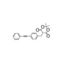 CC1(C)OC(=O)C(Cc2ccc(C#Cc3ccccc3)cc2)C(=O)O1